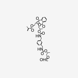 C=C(C)C(=O)OCCOC(=O)c1ccccc1C(=O)OCC(C)OC(=O)NCc1cccc(CNC(=O)OC(C)COC=O)c1